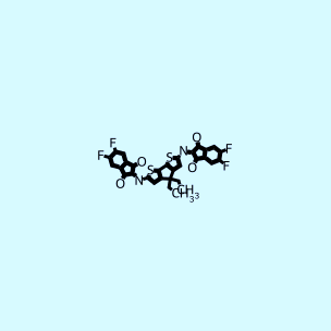 CCC1(CC)c2cc(N=c3c(=O)c4cc(F)c(F)cc4c3=O)sc2-c2sc(N=c3c(=O)c4cc(F)c(F)cc4c3=O)cc21